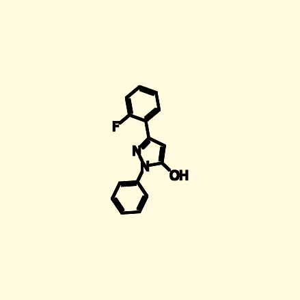 Oc1cc(-c2ccccc2F)nn1-c1ccccc1